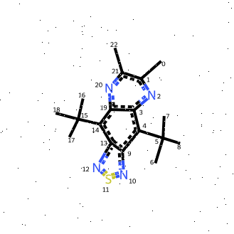 Cc1nc2c(C(C)(C)C)c3nsnc3c(C(C)(C)C)c2nc1C